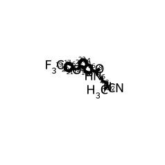 CN(C#N)CCCNC(=O)c1ccc2c(Oc3ccc(C(F)(F)F)cc3)cccc2c1